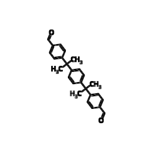 CC(C)(c1ccc(C=O)cc1)c1ccc(C(C)(C)c2ccc(C=O)cc2)cc1